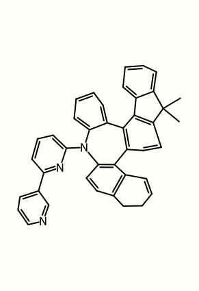 CC1(C)c2ccccc2-c2c1ccc1c2-c2ccccc2N(c2cccc(-c3cccnc3)n2)c2ccc3c(c2-1)C=CCC3